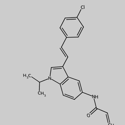 C=CC(=O)Nc1ccc2c(c1)c(C=Cc1ccc(Cl)cc1)cn2C(C)C